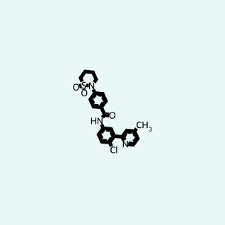 Cc1ccnc(-c2cc(NC(=O)c3ccc(N4CCCCS4(=O)=O)cc3)ccc2Cl)c1